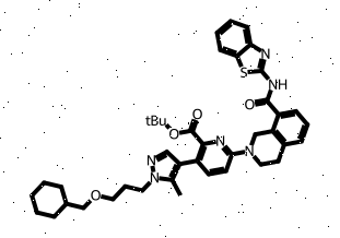 Cc1c(-c2ccc(N3CCc4cccc(C(=O)Nc5nc6ccccc6s5)c4C3)nc2C(=O)OC(C)(C)C)cnn1CCCOCC1CCCCC1